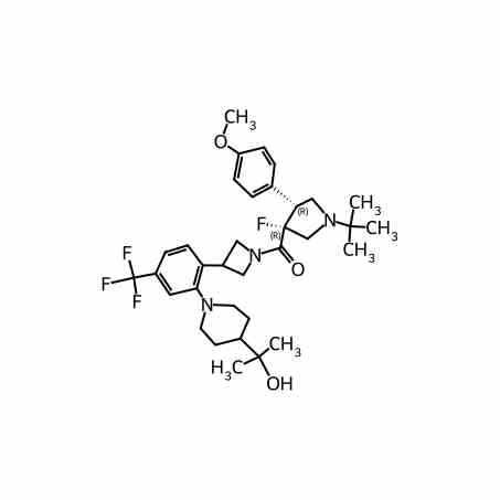 COc1ccc([C@@H]2CN(C(C)(C)C)C[C@@]2(F)C(=O)N2CC(c3ccc(C(F)(F)F)cc3N3CCC(C(C)(C)O)CC3)C2)cc1